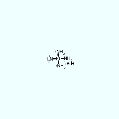 Br.[NH2][Pt]([NH2])([NH2])[NH2]